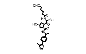 Cc1ncsc1-c1ccc(C(C)NC(=O)[C@@H]2C[C@@H](O)CN2C(=O)C(NC(=O)CCCCC=O)C(C)(C)C)cc1